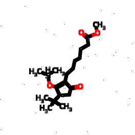 COC(=O)CCCCCCC1=C(O[SiH](C)C)C(C(C)(C)C)CC1=O